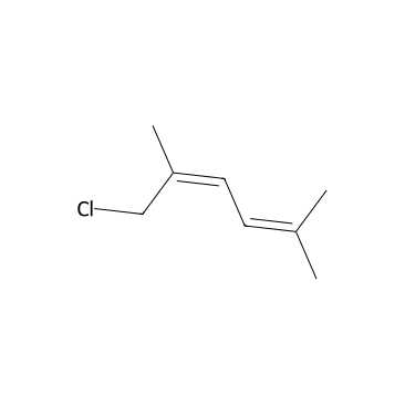 CC(C)=CC=C(C)CCl